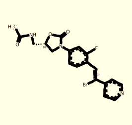 CC(=O)NC[C@H]1CN(c2ccc(/C=C(\Br)c3ccncc3)c(F)c2)C(=O)O1